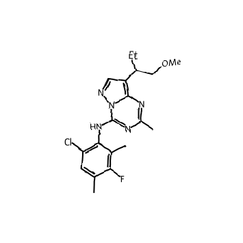 CCC(COC)c1cnn2c(Nc3c(Cl)cc(C)c(F)c3C)nc(C)nc12